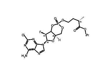 CC(C)OC(=O)[C@@H](C)CCOP1(=O)OC[C@H]2O[C@@H](n3cnc4c(N)nc(Cl)nc43)[C@@H](F)C2O1